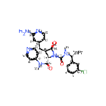 CCC[C@H](c1cccc(Cl)c1)N(C)C(=O)N1C(=O)[C@H](Cc2ccnc(N)c2)[C@H]1C(=O)N(C)c1ccncc1